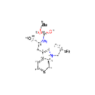 CCC(CC)Cn1cc(CC(NC(=O)OC(C)(C)C)C(=O)O)c2ccccc21